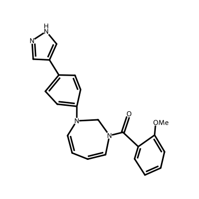 COc1ccccc1C(=O)N1C=CC=CN(c2ccc(-c3cn[nH]c3)cc2)C1